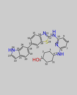 OC1CCC(Nc2cccc(Nc3nc4ccc(-c5ccc6cc[nH]c6c5)cc4s3)n2)CC1